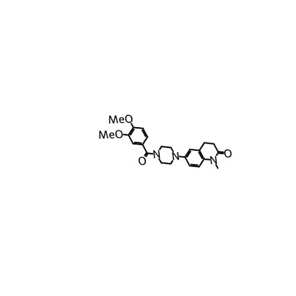 COc1ccc(C(=O)N2CCN(c3ccc4c(c3)CCC(=O)N4C)CC2)cc1OC